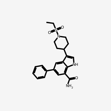 CCS(=O)(=O)N1CCC(c2c[nH]c3c(C(N)=O)cc(-c4ccccc4)cc23)CC1